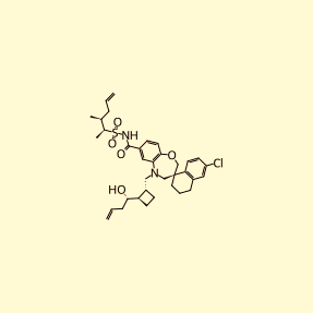 C=CC[C@H](C)[C@H](C)S(=O)(=O)NC(=O)c1ccc2c(c1)N(C[C@@H]1CC[C@H]1[C@@H](O)CC=C)C[C@@]1(CCCc3cc(Cl)ccc31)CO2